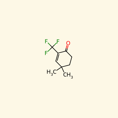 CC1(C)C=C(C(F)(F)F)C(=O)CC1